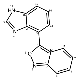 [c]1nc2c(-c3onc4ccccc34)cccc2[nH]1